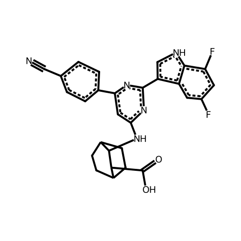 N#Cc1ccc(-c2cc(NC3C4CCC(CC4)C3C(=O)O)nc(-c3c[nH]c4c(F)cc(F)cc34)n2)cc1